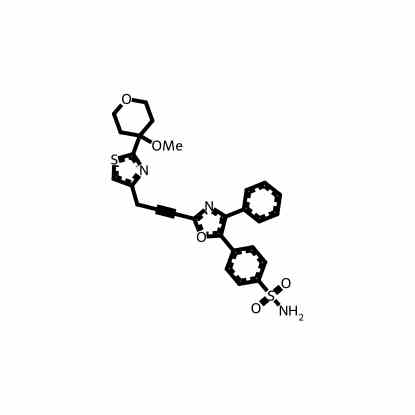 COC1(c2nc(CC#Cc3nc(-c4ccccc4)c(-c4ccc(S(N)(=O)=O)cc4)o3)cs2)CCOCC1